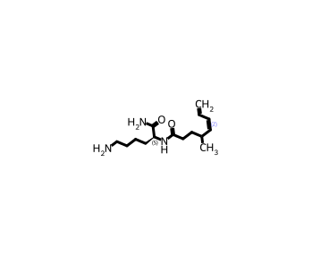 C=C/C=C\C(C)CCC(=O)N[C@@H](CCCCN)C(N)=O